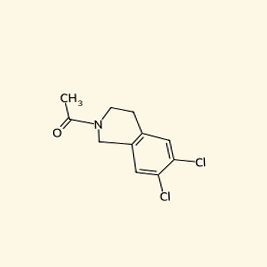 CC(=O)N1CCc2cc(Cl)c(Cl)cc2C1